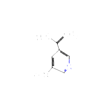 C=C(C)c1cncc([N+](=O)[O-])c1